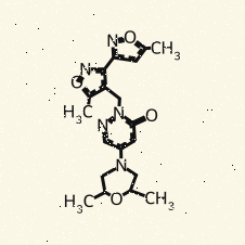 Cc1cc(-c2noc(C)c2Cn2ncc(N3CC(C)OC(C)C3)cc2=O)no1